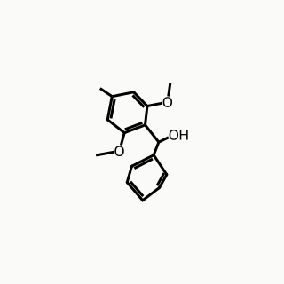 COc1cc(C)cc(OC)c1C(O)c1ccccc1